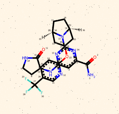 NC(=O)c1cc(N[C@H]2CCNC2=O)nc(N2[C@@H]3CC[C@H]2C[C@@H](Oc2ccc(C(F)(F)F)cn2)C3)n1